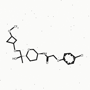 CC(O)(COC1CC(OC(F)(F)F)C1)[C@H]1CC[C@H](NC(=O)COc2ccc(Cl)cc2)CO1